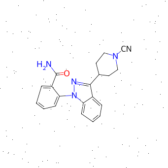 N#CN1CCC(c2nn(-c3ccccc3C(N)=O)c3ccccc23)CC1